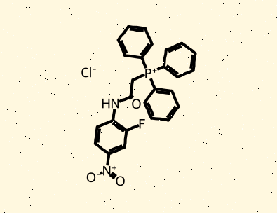 O=C(C[P+](c1ccccc1)(c1ccccc1)c1ccccc1)Nc1ccc([N+](=O)[O-])cc1F.[Cl-]